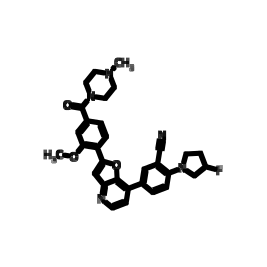 COc1cc(C(=O)N2CCN(C)CC2)ccc1-c1cc2nccc(-c3ccc(N4CCC(F)C4)c(C#N)c3)c2o1